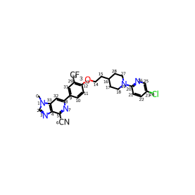 Cn1cnc2c(C#N)nc(-c3ccc(OCCC4CCN(c5ccc(Cl)cn5)CC4)c(C(F)(F)F)c3)cc21